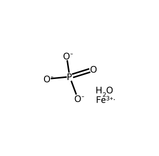 O.O=P([O-])([O-])[O-].[Fe+3]